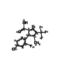 Cc1c(C(F)(F)F)[nH]c(C(=O)O)c1-c1ccc(Cl)cc1F